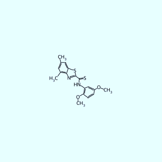 COc1ccc(OC)c(NC(=S)c2nc3c(C)cc(C)cc3s2)c1